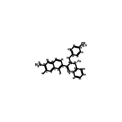 Cc1cc2c(C)c(C(=O)N(Cc3ccc(C(F)(F)F)cn3)[C@H](C)c3ncccn3)ccc2nc1N